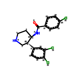 O=C(N[C@@H]1CCNC[C@H]1c1ccc(Cl)c(Cl)c1)c1ccc(Cl)cc1